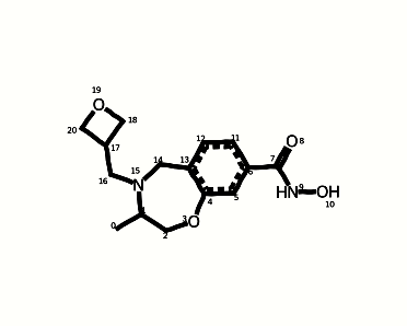 CC1COc2cc(C(=O)NO)ccc2CN1CC1COC1